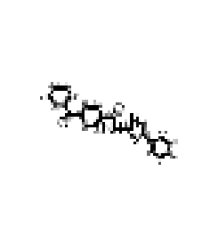 O=C(Nc1ncc(-c2ccccc2)s1)c1ccc(C(=O)c2ccccc2)cc1